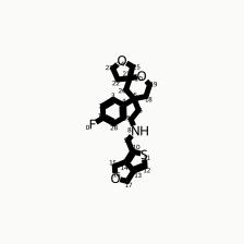 Fc1ccc(C2(CCNCc3scc4c3COC4)CCOC3(CCOC3)C2)cc1